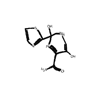 NC(=O)C1=NC(O)(c2nccs2)NC=C1O